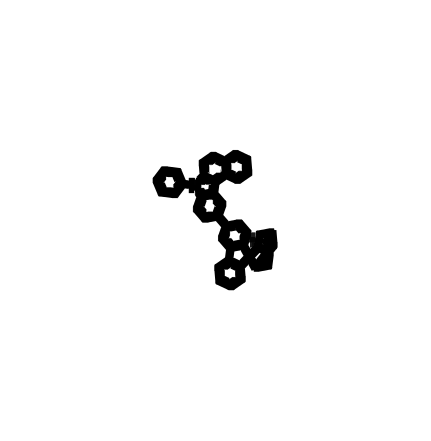 c1ccc(-n2c3ccc(-c4ccc5c(c4)-c4ccccc4C54C5CC6CC(C5)[C@H]4C6)cc3c3c4ccccc4ccc32)cc1